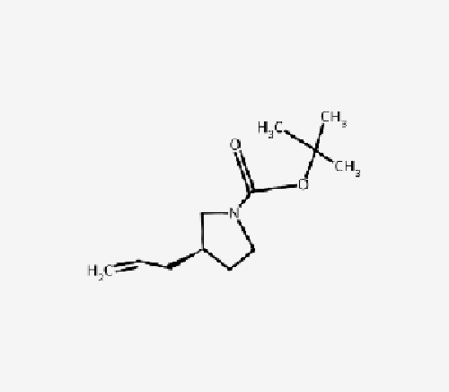 C=CC[C@@H]1CCN(C(=O)OC(C)(C)C)C1